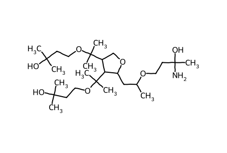 CC(CC1OCC(C(C)(C)OCCC(C)(C)O)C1C(C)(C)OCCC(C)(C)O)OCCC(C)(N)O